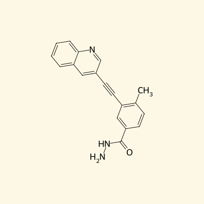 Cc1ccc(C(=O)NN)cc1C#Cc1cnc2ccccc2c1